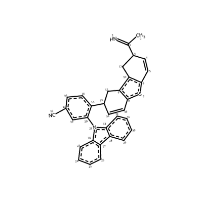 CC(=N)C1C=Cc2sc3c(c2C1)CC(c1ccc(C#N)cc1-n1c2ccccc2c2ccccc21)C=C3